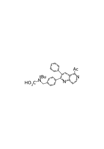 CC(=O)c1nccc2nc(-c3ccc(CN(C(=O)O)C(C)(C)C)cc3)c(-c3ccccc3)cc12